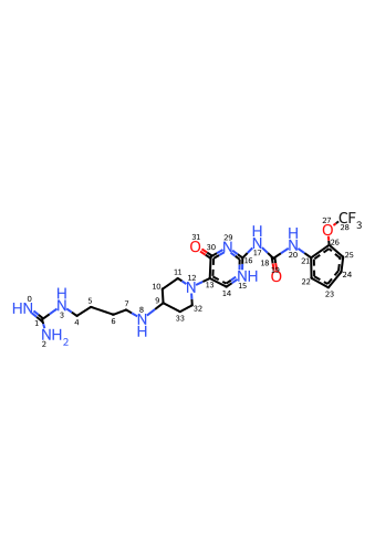 N=C(N)NCCCCNC1CCN(c2c[nH]c(NC(=O)Nc3ccccc3OC(F)(F)F)nc2=O)CC1